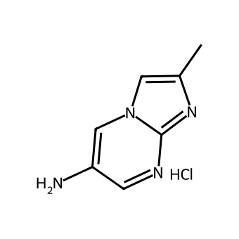 Cc1cn2cc(N)cnc2n1.Cl